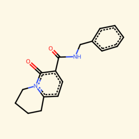 O=C(NCc1ccccc1)c1ccc2n(c1=O)CCCC2